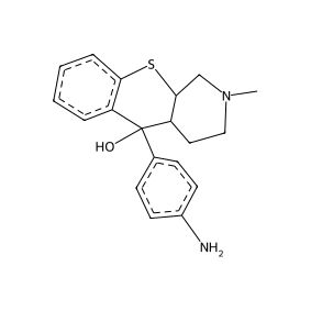 CN1CCC2C(C1)Sc1ccccc1C2(O)c1ccc(N)cc1